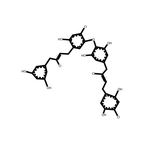 Oc1cc(O)cc(C/C(Cl)=C/Cc2cc(Oc3c(O)cc(C/C(Cl)=C/Cc4cc(O)c(Cl)cc4O)cc3O)c(Cl)cc2O)c1